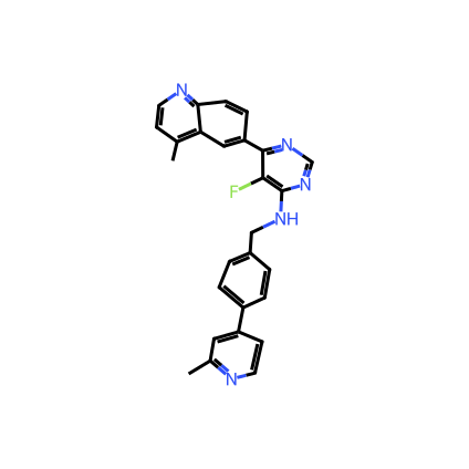 Cc1cc(-c2ccc(CNc3ncnc(-c4ccc5nccc(C)c5c4)c3F)cc2)ccn1